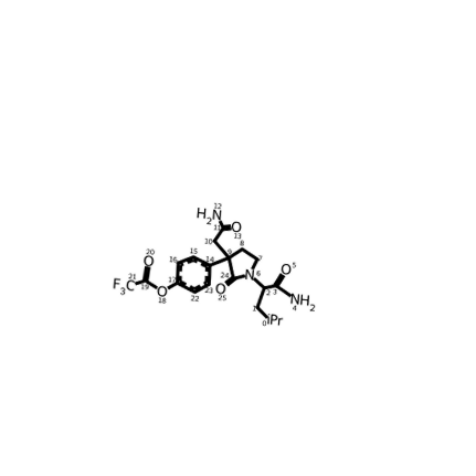 CC(C)CC(C(N)=O)N1CCC(CC(N)=O)(c2ccc(OC(=O)C(F)(F)F)cc2)C1=O